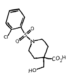 O=C(O)C1(CO)CCN(S(=O)(=O)c2ccccc2Cl)CC1